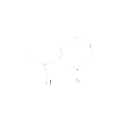 ClP(Cl)c1ccccc1.[Ru]